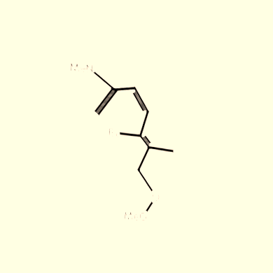 C=C(/C=C\C(CC)=C(/C)COOC)NC